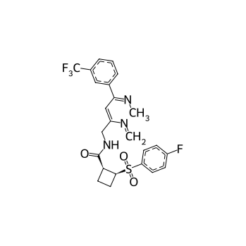 C=N/C(=C\C(=N/C)c1cccc(C(F)(F)F)c1)CNC(=O)[C@@H]1CC[C@@H]1S(=O)(=O)c1ccc(F)cc1